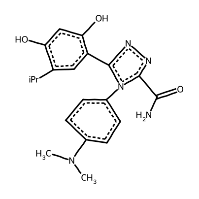 CC(C)c1cc(-c2nnc(C(N)=O)n2-c2ccc(N(C)C)cc2)c(O)cc1O